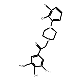 COc1cc(C(=O)CN2CCN(c3cccc(Cl)c3Cl)CC2)cc([N+](=O)[O-])c1O